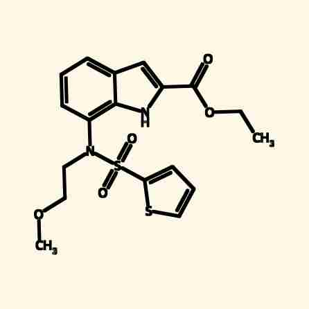 CCOC(=O)c1cc2cccc(N(CCOC)S(=O)(=O)c3cccs3)c2[nH]1